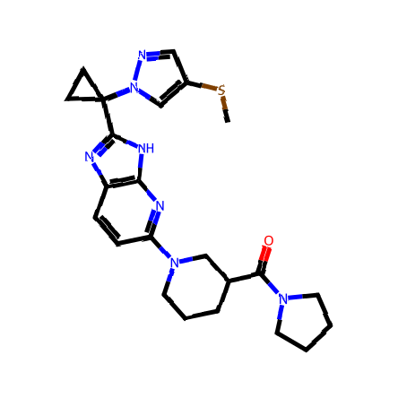 CSc1cnn(C2(c3nc4ccc(N5CCCC(C(=O)N6CCCC6)C5)nc4[nH]3)CC2)c1